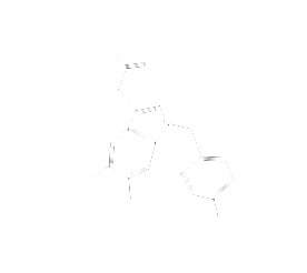 Cc1c(CC(=O)O)c2cc(O)c(Cl)cc2n1Cc1ccc(F)cc1